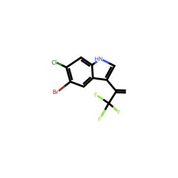 C=C(c1c[nH]c2cc(Cl)c(Br)cc12)C(F)(F)F